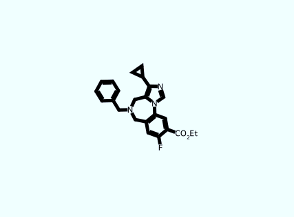 CCOC(=O)c1cc2c(cc1F)CN(Cc1ccccc1)Cc1c(C3CC3)ncn1-2